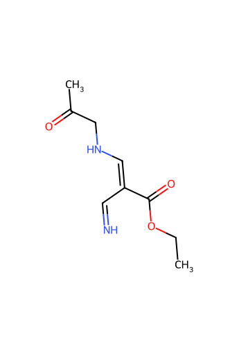 CCOC(=O)/C(C=N)=C/NCC(C)=O